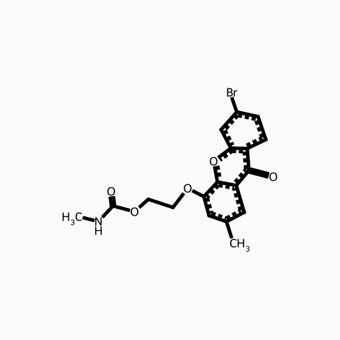 CNC(=O)OCCOc1cc(C)cc2c(=O)c3ccc(Br)cc3oc12